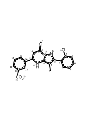 Cc1c(-c2ccccc2Cl)nn2c(=O)cc(-c3cccc(C(=O)O)c3)[nH]c12